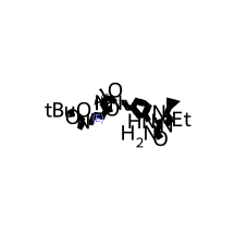 CCc1nc(C(N)=O)c(Nc2cccc(CCNC(=O)[C@H](C)N(C)C(=O)/C=C/CN(C)C(=O)OC(C)(C)C)c2)nc1C1CC1